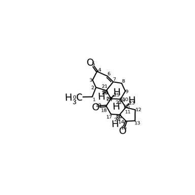 CCC1CC(=O)C=C2CC[C@H]3[C@@H]4CCC(=O)[C@H]4CC(=O)[C@@H]3[C@H]21